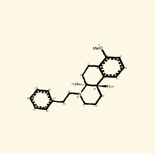 COc1cccc2c1CC[C@H]1[C@H]2CCCN1CCc1ccccc1